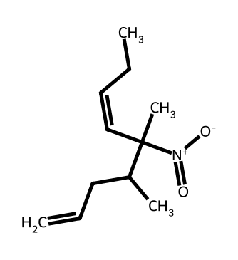 C=CCC(C)C(C)(/C=C\CC)[N+](=O)[O-]